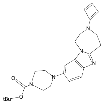 CC(C)(C)OC(=O)N1CCN(c2ccc3nc4n(c3c2)CCN(C2=CC=C2)CC4)CC1